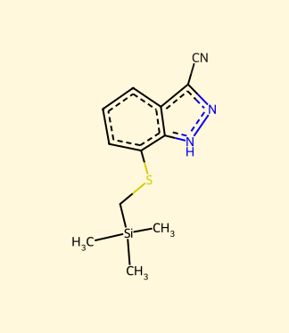 C[Si](C)(C)CSc1cccc2c(C#N)n[nH]c12